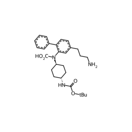 CC(C)(C)OC(=O)N[C@H]1CC[C@H](N(C(=O)O)c2cc(CCCN)ccc2-c2ccccc2)CC1